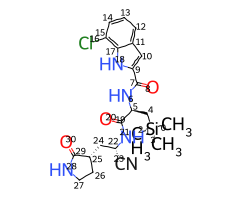 C[Si](C)(C)C[C@H](NC(=O)c1cc2cccc(Cl)c2[nH]1)C(=O)N[C@H](C#N)C[C@@H]1CCNC1=O